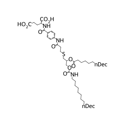 CCCCCCCCCCCCCCCCCCNC(=O)OCC(CSCCC(=O)Nc1ccc(C(=O)N[C@@H](CCC(=O)O)C(=O)O)cc1)OC(=O)CCCCCCCCCCCCCCC